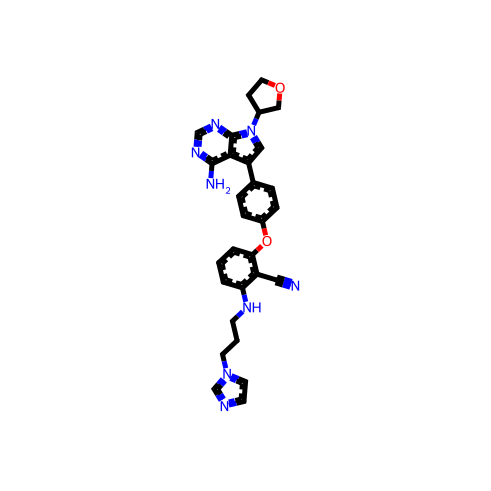 N#Cc1c(NCCCn2ccnc2)cccc1Oc1ccc(-c2cn(C3CCOC3)c3ncnc(N)c23)cc1